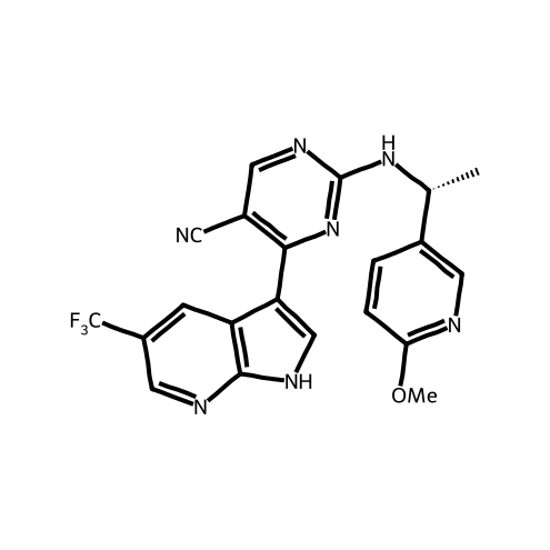 COc1ccc([C@@H](C)Nc2ncc(C#N)c(-c3c[nH]c4ncc(C(F)(F)F)cc34)n2)cn1